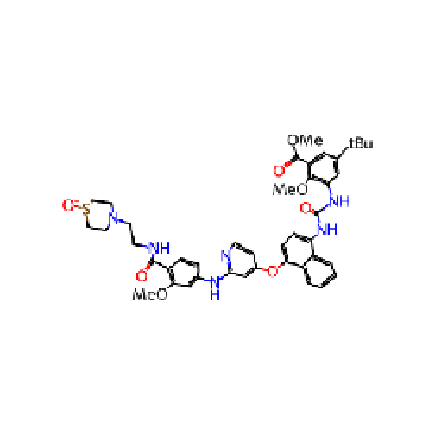 COC(=O)c1cc(C(C)(C)C)cc(NC(=O)Nc2ccc(Oc3ccnc(Nc4ccc(C(=O)NCCN5CC[S+]([O-])CC5)c(OC)c4)c3)c3ccccc23)c1OC